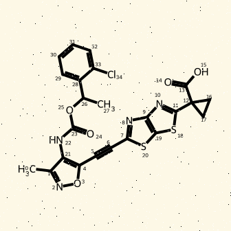 Cc1noc(C#Cc2nc3nc(C4(C(=O)O)CC4)sc3s2)c1NC(=O)OC(C)c1ccccc1Cl